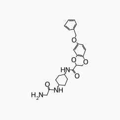 NCC(=O)N[C@H]1CC[C@@H](NC(=O)C2COc3ccc(OCc4ccccc4)cc3O2)CC1